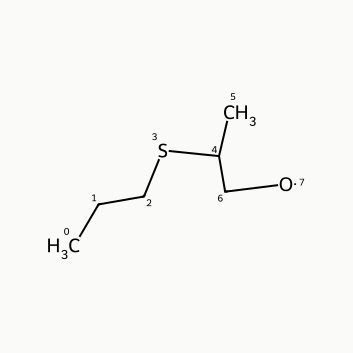 CCCSC(C)C[O]